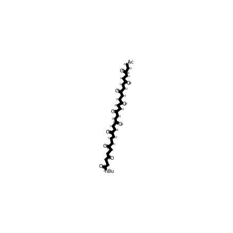 CCCCC(=O)CCC(=O)CCC(=O)CCCC(=O)CCC(=O)CCC(=O)CCC(=O)CCC(=O)CCC(=O)CCC(=O)CCC(C)=O